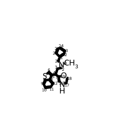 CN(CCC(c1csc2ccccc12)C1CNCCO1)Cc1ccccc1